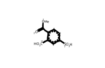 COC(=O)c1ccc(S(=O)(=O)O)cc1C(=O)O